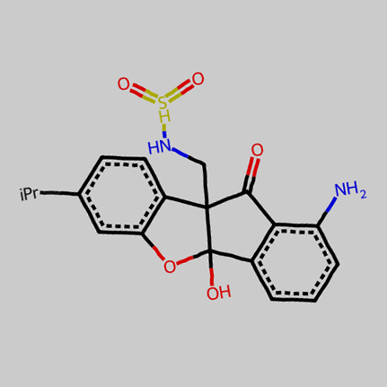 CC(C)c1ccc2c(c1)OC1(O)c3cccc(N)c3C(=O)C21CN[SH](=O)=O